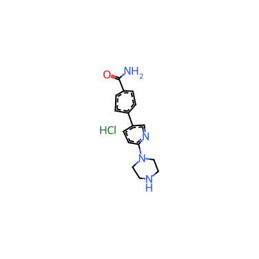 Cl.NC(=O)c1ccc(-c2ccc(N3CCNCC3)nc2)cc1